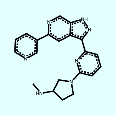 CNC1CCN(c2cccc(-c3n[nH]c4cnc(-c5cccnc5)cc34)n2)C1